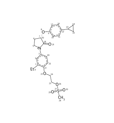 CCc1cc(N2CC[C@H](Oc3ccc(C4CC4)cc3)C2=O)ccc1OCCOS(C)(=O)=O